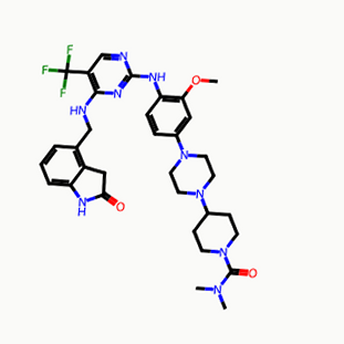 COc1cc(N2CCN(C3CCN(C(=O)N(C)C)CC3)CC2)ccc1Nc1ncc(C(F)(F)F)c(NCc2cccc3c2CC(=O)N3)n1